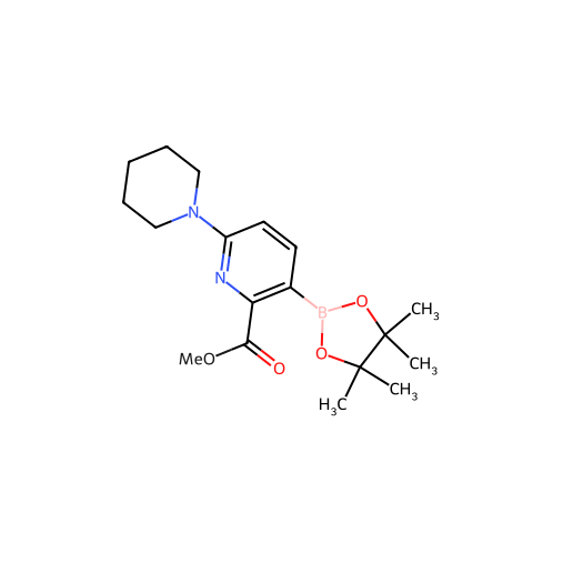 COC(=O)c1nc(N2CCCCC2)ccc1B1OC(C)(C)C(C)(C)O1